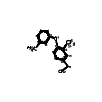 Cc1cccc(Oc2ccc(CCl)cc2C(F)(F)F)c1